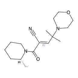 [CH2][C@@H]1CCCCN1C(=O)/C(C#N)=C/C(C)(C)N1CCOCC1